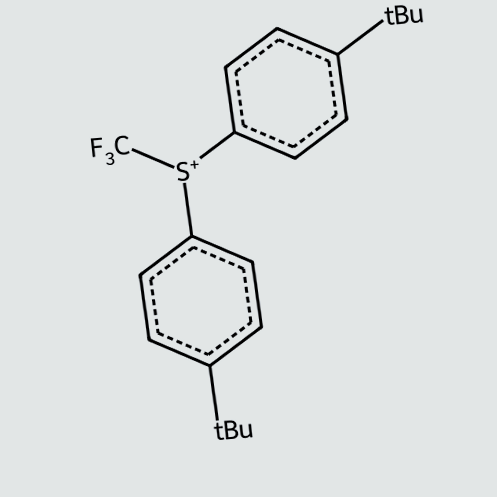 CC(C)(C)c1ccc([S+](c2ccc(C(C)(C)C)cc2)C(F)(F)F)cc1